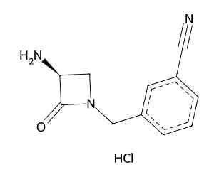 Cl.N#Cc1cccc(CN2C[C@H](N)C2=O)c1